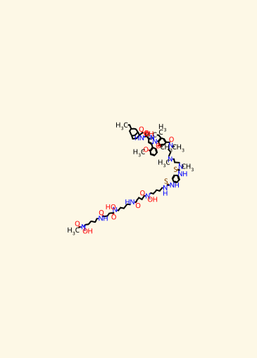 CCC1CC2CCC(NC(=O)c3cc(-c4c(OC)cccc4OC)n(-c4ccc(C(=O)N(C)CCCN(C)CCCN(C)C(=S)Nc5ccc(NC(=S)NCCCCCN(O)C(=O)CCC(=O)NCCCCCN(O)C(=O)CCC(=O)NCCCCCN(O)C(C)=O)cc5)cc4C(C)C)n3)(C(=O)O)C(C1)C2